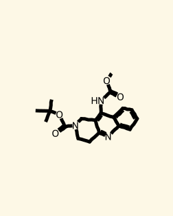 COC(=O)Nc1c2c(nc3ccccc13)CCN(C(=O)OC(C)(C)C)C2